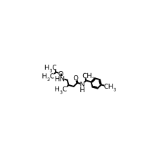 Cc1ccc(C(C)NC(=O)CC(C)CNOC(C)C)cc1